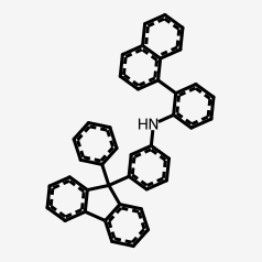 c1ccc(C2(c3cccc(Nc4ccccc4-c4cccc5ccccc45)c3)c3ccccc3-c3ccccc32)cc1